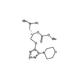 CC(=O)N(C[C@@H](COc1nsnc1N1CCOCC1)OC(=O)OC(C)(C)C)C(C)(C)C